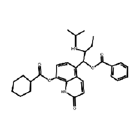 CCC(NC(C)C)C(OC(=O)c1ccccc1)c1ccc(OC(=O)C2CCCCC2)c2[nH]c(=O)ccc12